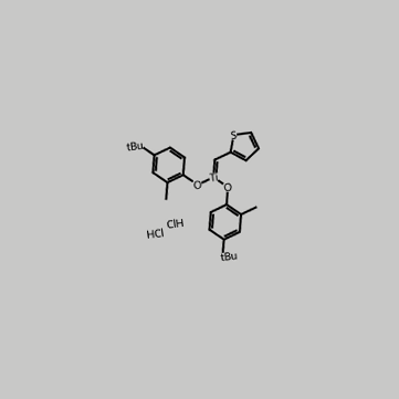 Cc1cc(C(C)(C)C)ccc1[O][Ti](=[CH]c1cccs1)[O]c1ccc(C(C)(C)C)cc1C.Cl.Cl